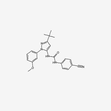 COc1cccc(-n2nc(C(C)(C)C)cc2NC(=O)Nc2ccc(C#N)cc2)c1